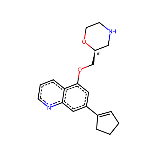 C1=C(c2cc(OC[C@@H]3CNCCO3)c3cccnc3c2)CCC1